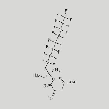 C=C(CC(=O)O)C(=O)OC(C)(CC)CC(F)(F)C(F)(F)C(F)(F)C(F)(F)C(F)(F)C(F)(F)C(F)(F)C(F)(F)F